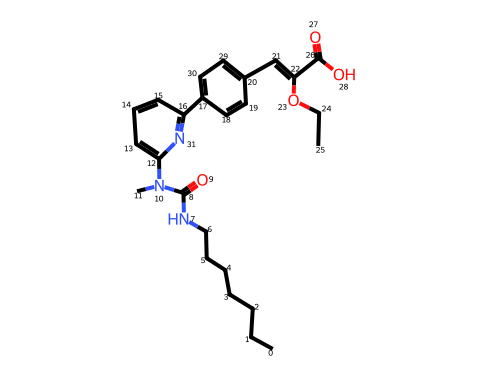 CCCCCCCNC(=O)N(C)c1cccc(-c2ccc(C=C(OCC)C(=O)O)cc2)n1